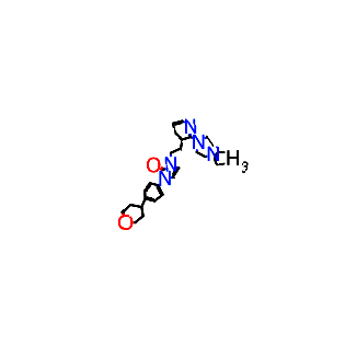 CN1CCN(c2ncccc2CCn2ccn(-c3ccc(C4CCOCC4)cc3)c2=O)CC1